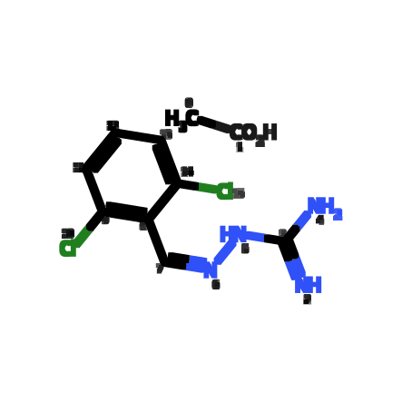 CC(=O)O.N=C(N)N/N=C\c1c(Cl)cccc1Cl